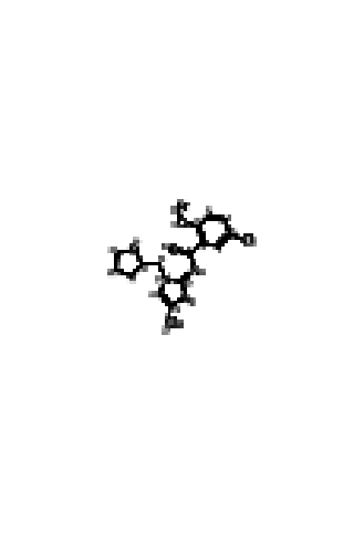 CC(C)Oc1ccc(Cl)cc1C(=O)N=c1sc(C(C)(C)C)cn1CC1CCCO1